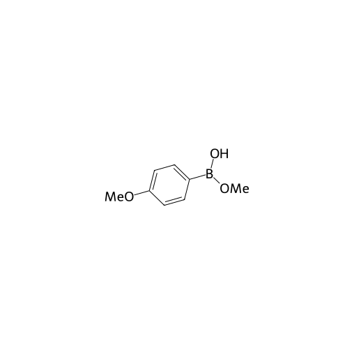 COB(O)c1ccc(OC)cc1